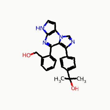 CC(C)(O)c1ccc(-c2ncn3c2c(-c2ccccc2CO)nc2[nH]ccc23)cc1